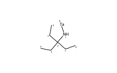 CCC(CC)(CC)[NH][Ta]